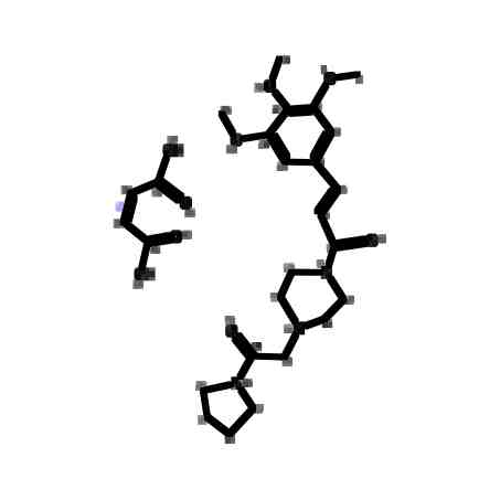 COc1cc(C=CC(=O)N2CCN(CC(=O)N3CCCC3)CC2)cc(OC)c1OC.O=C(O)/C=C\C(=O)O